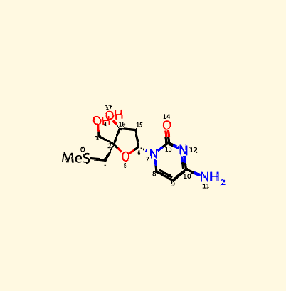 CSC[C@]1(CO)O[C@@H](n2ccc(N)nc2=O)C[C@@H]1O